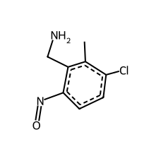 Cc1c(Cl)ccc(N=O)c1CN